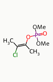 COP(=O)(OC)O/C(C)=C(\C)Cl